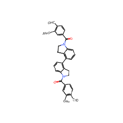 COc1cc(C(=O)N2CCc3c(-c4cccc5c4CCN5C(=O)c4ccc(C=O)c(OC)c4)cccc32)ccc1C=O